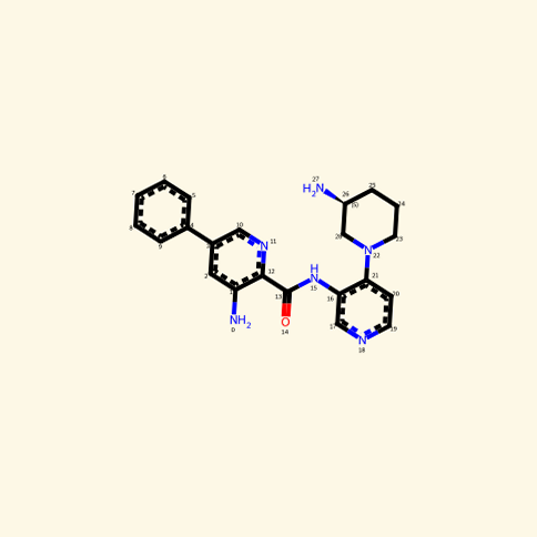 Nc1cc(-c2ccccc2)cnc1C(=O)Nc1cnccc1N1CCC[C@H](N)C1